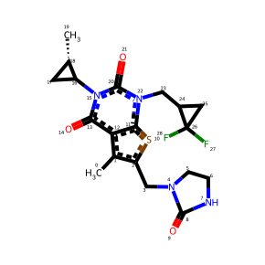 Cc1c(CN2CCNC2=O)sc2c1c(=O)n(C1C[C@@H]1C)c(=O)n2CC1CC1(F)F